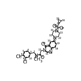 CN(Cc1ccc(Cl)c(Cl)c1)C(=O)Cn1cnc2ccc(N3CCN(S(=O)(=O)C4CC4)CC3)cc2c1=O